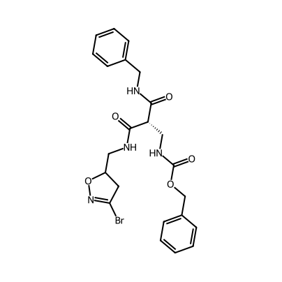 O=C(NC[C@@H](C(=O)NCc1ccccc1)C(=O)NCC1CC(Br)=NO1)OCc1ccccc1